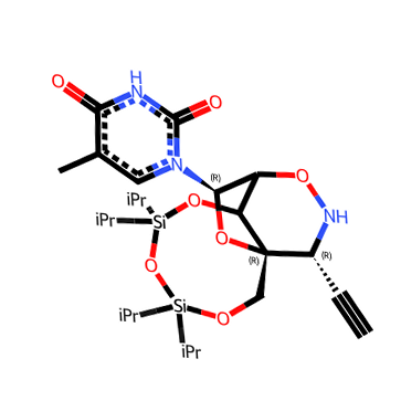 C#C[C@H]1NOC2C3O[Si](C(C)C)(C(C)C)O[Si](C(C)C)(C(C)C)OC[C@@]31O[C@H]2n1cc(C)c(=O)[nH]c1=O